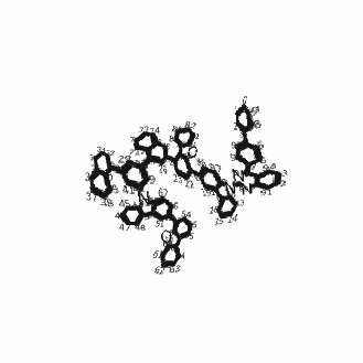 c1ccc(-c2ccc(-c3nc(-n4c5ccccc5c5cc(-c6ccc(-c7cc(-c8cc(-c9cccc%10ccccc9%10)cc(-n9c%10ccccc%10c%10cc(-c%11cccc%12c%11oc%11ccccc%11%12)ccc%109)c8)c8ccccc8c7)c7c6oc6ccccc67)ccc54)nc4ccccc34)cc2)cc1